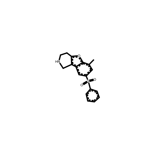 Cc1cc(S(=O)(=O)c2ccccc2)cc2c3c(oc12)CCNC3